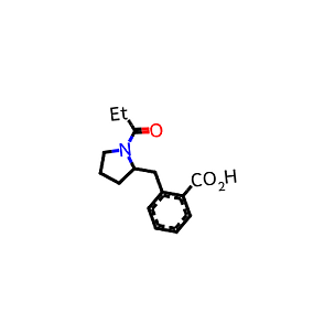 CCC(=O)N1CCCC1Cc1ccccc1C(=O)O